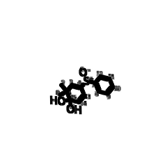 CC1(C)C=C([S+]([O-])c2ccccc2)C=CC1(O)O